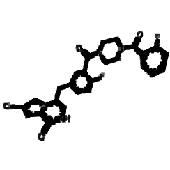 O=C(c1ccccc1F)N1CCN(C(=O)c2cc(Cc3c[nH]c(=O)c4cc(Cl)cn34)ccc2F)CC1